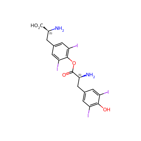 N[C@@H](Cc1cc(I)c(OC(=O)[C@@H](N)Cc2cc(I)c(O)c(I)c2)c(I)c1)C(=O)O